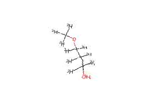 [2H]C([2H])([2H])OC([2H])([2H])C([2H])([2H])C([2H])([2H])O